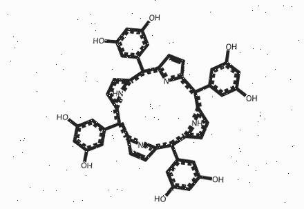 Oc1cc(O)cc(-c2c3nc(c(-c4cc(O)cc(O)c4)c4ccc([nH]4)c(-c4cc(O)cc(O)c4)c4nc(c(-c5cc(O)cc(O)c5)c5ccc2[nH]5)C=C4)C=C3)c1